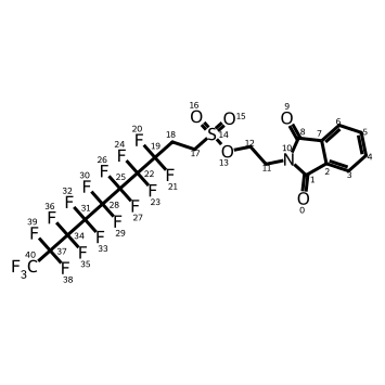 O=C1c2ccccc2C(=O)N1CCOS(=O)(=O)CCC(F)(F)C(F)(F)C(F)(F)C(F)(F)C(F)(F)C(F)(F)C(F)(F)C(F)(F)F